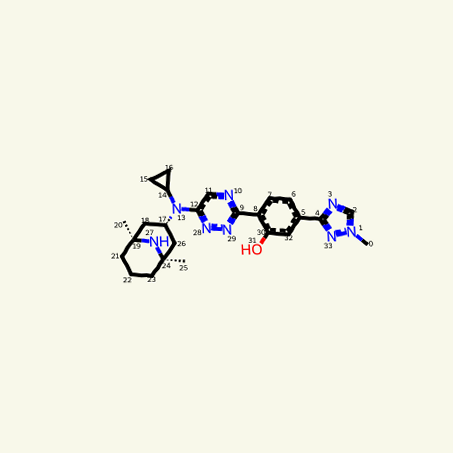 Cn1cnc(-c2ccc(-c3ncc(N(C4CC4)[C@H]4C[C@]5(C)CCC[C@](C)(C4)N5)nn3)c(O)c2)n1